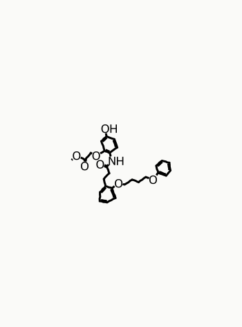 COC(=O)COc1cc(O)ccc1NC(=O)CCc1ccccc1OCCCCOc1ccccc1